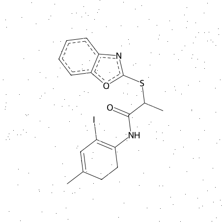 CC1=CC(I)=C(NC(=O)C(C)Sc2nc3ccccc3o2)CC1